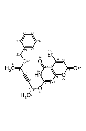 C=C(C#C[C@@H](C)Oc1nc2oc(=O)cc(CC)c2c(=O)[nH]1)OCc1ccccc1